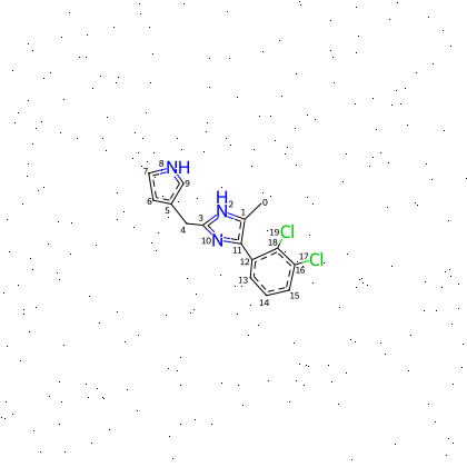 Cc1[nH]c(Cc2cc[nH]c2)nc1-c1cccc(Cl)c1Cl